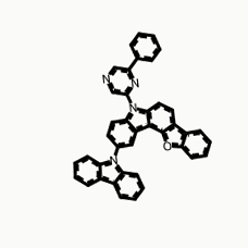 c1ccc(-c2cncc(-n3c4ccc(-n5c6ccccc6c6ccccc65)cc4c4c5oc6ccccc6c5ccc43)n2)cc1